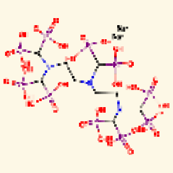 O=P([O-])([O-])C(N(CCN(CCN(C(P(=O)(O)O)P(=O)(O)O)C(P(=O)(O)O)P(=O)(O)O)C(P(=O)(O)O)P(=O)(O)O)C(P(=O)(O)O)P(=O)(O)O)P(=O)(O)O.[Na+].[Na+]